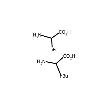 CC(C)C(N)C(=O)O.CCCCC(N)C(=O)O